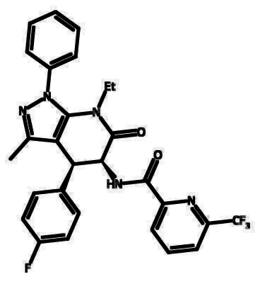 CCN1C(=O)[C@@H](NC(=O)c2cccc(C(F)(F)F)n2)[C@@H](c2ccc(F)cc2)c2c(C)nn(-c3ccccc3)c21